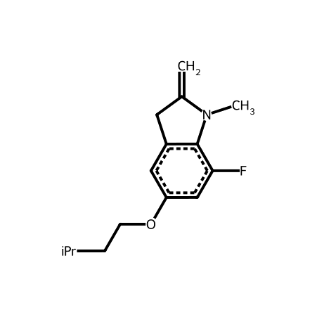 C=C1Cc2cc(OCCC(C)C)cc(F)c2N1C